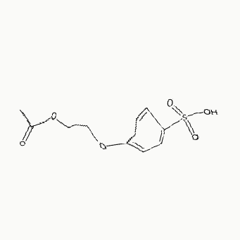 CC(=O)OCCOc1ccc(S(=O)(=O)O)cc1